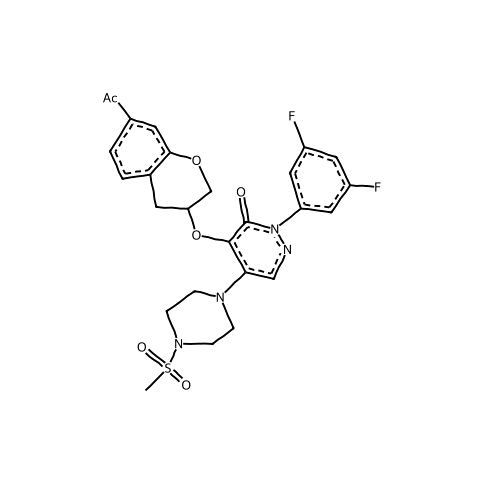 CC(=O)c1ccc2c(c1)OCC(Oc1c(N3CCN(S(C)(=O)=O)CC3)cnn(-c3cc(F)cc(F)c3)c1=O)C2